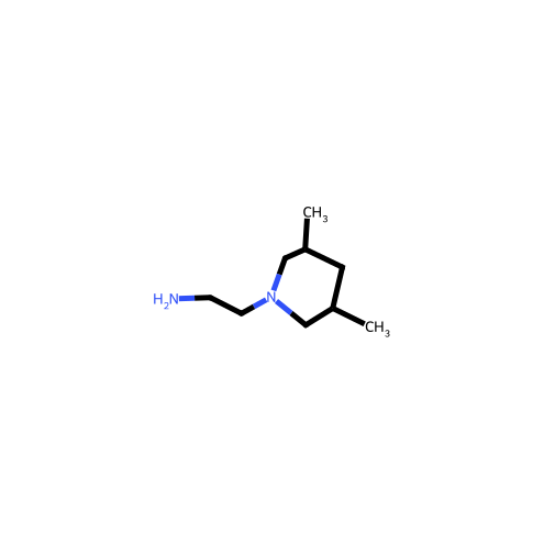 CC1CC(C)CN(CCN)C1